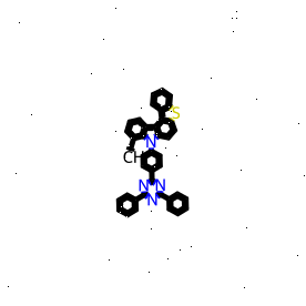 C#Cc1cccc2c3c4c(ccc3n(-c3ccc(-c5nc(-c6ccccc6)nc(-c6ccccc6)n5)cc3)c12)sc1ccccc14